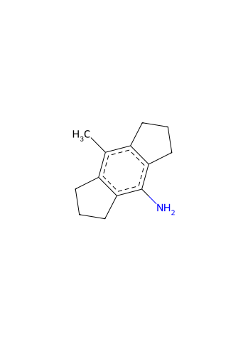 Cc1c2c(c(N)c3c1CCC3)CCC2